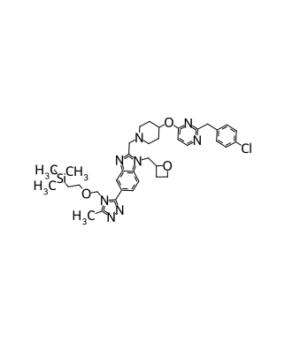 Cc1nnc(-c2ccc3c(c2)nc(CN2CCC(Oc4ccnc(Cc5ccc(Cl)cc5)n4)CC2)n3CC2CCO2)n1COCC[Si](C)(C)C